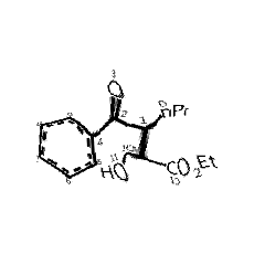 CCCC(C(=O)c1ccccc1)C(O)C(=O)OCC